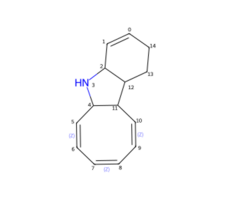 C1=CC2NC3\C=C/C=C\C=C/C3C2CC1